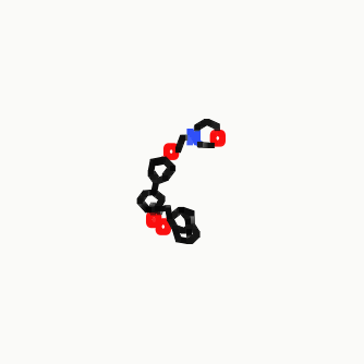 c1cc(C2CCC[C@@]3(C2)CC2(OO3)C3CC4CC(C3)CC2C4)ccc1OCCN1CCCOCC1